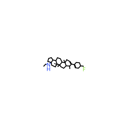 CCNC12CCCC1C1CCC3C4(C)CC=C(C5=CCC(CF)CC5)C(C)C4CCC3(C)[C@]1(C)CC2